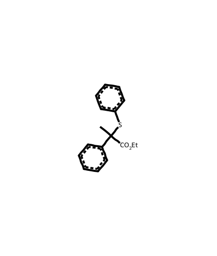 CCOC(=O)C(C)(Sc1ccccc1)c1ccccc1